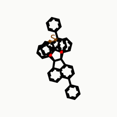 c1ccc(-c2ccc3c4c(cccc24)C24c5cccc6c(-c7ccccc7)ccc(c56)C32c2cccc3sc5cccc4c5c23)cc1